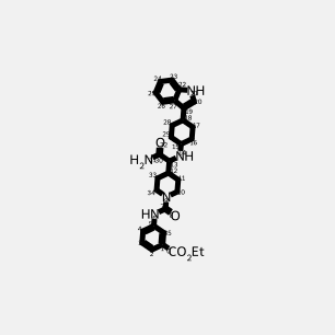 CCOC(=O)c1cccc(NC(=O)N2CCC(C(NC3CCC(c4c[nH]c5ccccc45)CC3)C(N)=O)CC2)c1